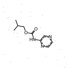 CC(C)COC(=O)Nc1cn[c]cn1